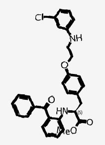 COC(=O)[C@H](Cc1ccc(OCCNc2cccc(Cl)c2)cc1)Nc1ccccc1C(=O)c1ccccc1